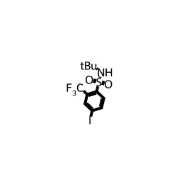 CC(C)(C)NS(=O)(=O)c1ccc(I)cc1C(F)(F)F